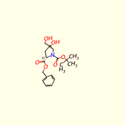 CC(C)(C)OC(=O)N1C[C@@](O)(CO)C[C@H]1C(=O)OCc1ccccc1